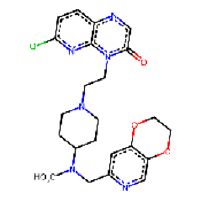 O=C(O)N(Cc1cc2c(cn1)OCCO2)C1CCN(CCn2c(=O)cnc3ccc(Cl)nc32)CC1